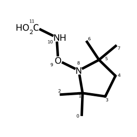 CC1(C)CCC(C)(C)N1ONC(=O)O